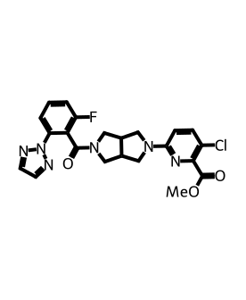 COC(=O)c1nc(N2CC3CN(C(=O)c4c(F)cccc4-n4nccn4)CC3C2)ccc1Cl